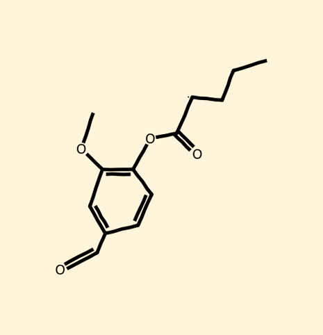 CCC[CH]C(=O)Oc1ccc(C=O)cc1OC